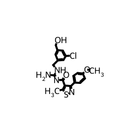 COc1ccc(-c2nsc(C)c2C(=O)N=C(N)NCc2cc(Cl)cc(CO)c2)cc1